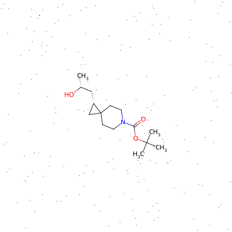 C[C@@H](O)C[C@H]1CC12CCN(C(=O)OC(C)(C)C)CC2